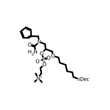 CCCCCCCCCCCCCCCCOCC(CN(Cc1ccccc1)C(N)=O)OP(=O)([O-])OCC[N+](C)(C)C